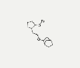 CCOC1CCCC1CCOC1CC2CCC1C2